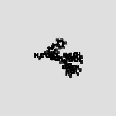 CCO[N+]1([O-])CCP(Cc2ccccc2)CC1(CCCCN(C(=O)OC(C)(C)C)C(=O)OC(C)(C)C)C(=O)O